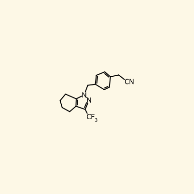 N#CCc1ccc(Cn2nc(C(F)(F)F)c3c2CCCC3)cc1